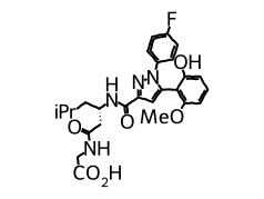 COc1cccc(O)c1-c1cc(C(=O)N[C@H](CC(=O)NCC(=O)O)CC(C)C)nn1C1=C=C=C(F)C=C1